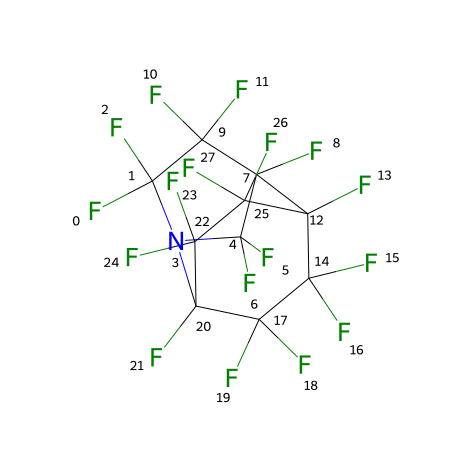 FC1(F)N2C(F)(F)C(F)(C1(F)F)C1(F)C(F)(F)C(F)(F)C2(F)C(F)(F)C1(F)F